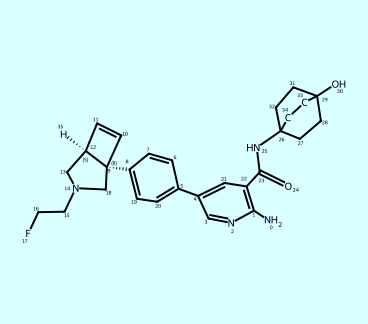 Nc1ncc(-c2ccc([C@@]34C=C[C@@H]3CN(CCF)C4)cc2)cc1C(=O)NC12CCC(O)(CC1)CC2